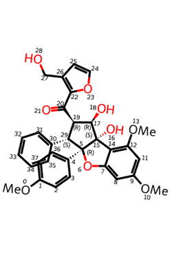 COc1ccc([C@@]23Oc4cc(OC)cc(OC)c4[C@]2(O)[C@H](O)[C@H](C(=O)c2occc2CO)[C@H]3c2ccccc2)cc1